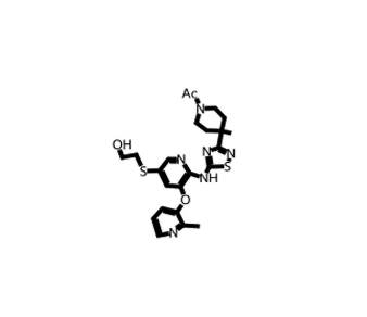 CC(=O)N1CCC(C)(c2nsc(Nc3ncc(SCCO)cc3Oc3cccnc3C)n2)CC1